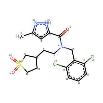 Cc1cc(C(=O)N(CCC2CCS(=O)(=O)C2)Cc2c(Cl)cccc2Cl)[nH]n1